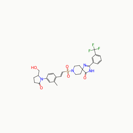 Cc1cc(N2C(=O)CCC2CO)ccc1C=CS(=O)(=O)N1CCC2(CC1)N=C(c1cccc(C(F)(F)F)c1)NC2=O